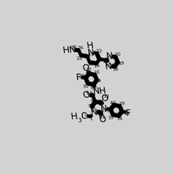 CCn1cc(C(=O)Nc2ccc(OC3=CC(c4ncccn4)=CN/C3=C\C=N)c(F)c2)c(=O)n(-c2ccc(F)cc2)c1=O